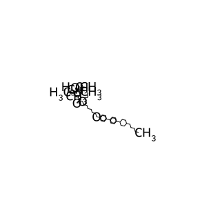 CCCCCC1CCC(c2ccc(-c3ccc(OCCCCCCOC(=O)c4cc(C(C)(C)C)c(O)c(C(C)(C)C)c4)cc3)cc2)CC1